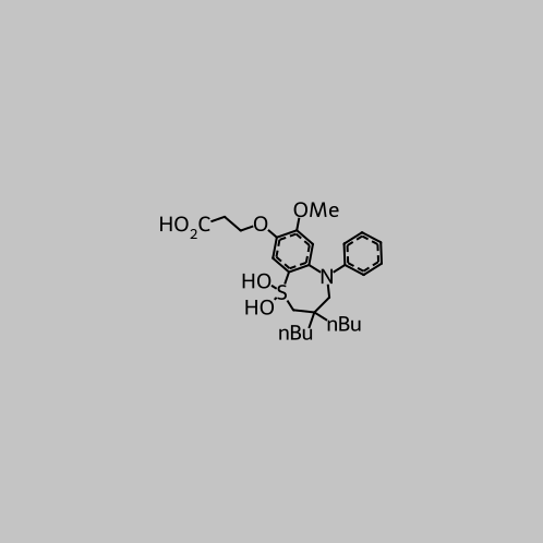 CCCCC1(CCCC)CN(c2ccccc2)c2cc(OC)c(OCCC(=O)O)cc2S(O)(O)C1